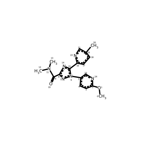 COc1ccc(-n2nc(C(=O)N(C)C)nc2-c2ccc(C)cn2)cn1